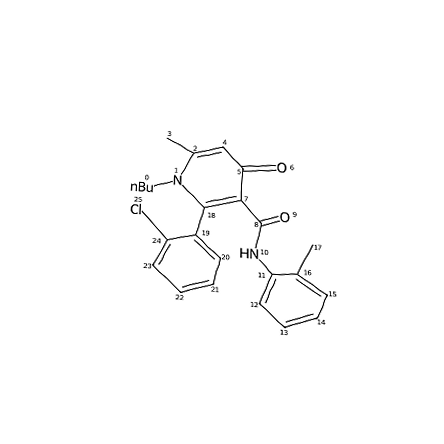 CCCCn1c(C)cc(=O)c(C(=O)Nc2ccccc2C)c1-c1ccccc1Cl